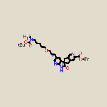 CC(C)OC(=O)c1cc2c(cn1)C[C@@]1(C2)C(=O)Nc2ncc(/C=C/COCCCCCN(C)C(=O)OC(C)(C)C)cc21